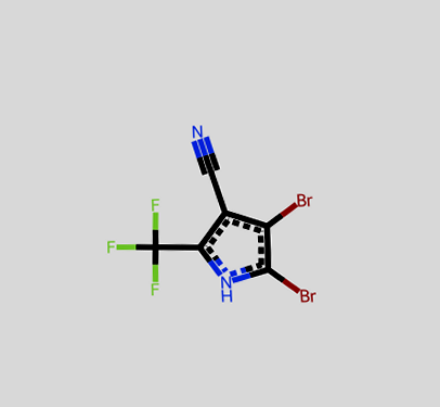 N#Cc1c(C(F)(F)F)[nH]c(Br)c1Br